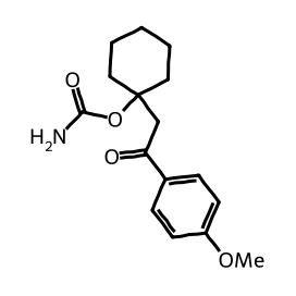 COc1ccc(C(=O)CC2(OC(N)=O)CCCCC2)cc1